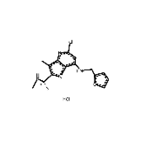 CN[C@@H](C)c1sc2c(NCc3ccco3)cc(Cl)nc2c1C.Cl